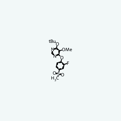 COc1c(Oc2ccc(S(C)(=O)=O)cc2F)ncnc1OC(C)(C)C